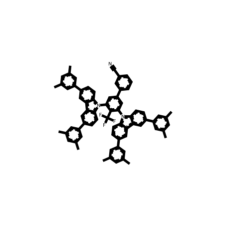 Cc1cc(C)cc(-c2ccc3c(c2)c2cc(-c4cc(C)cc(C)c4)ccc2n3-c2cc(-c3cccc(C#N)c3)cc(-n3c4ccc(-c5cc(C)cc(C)c5)cc4c4cc(-c5cc(C)cc(C)c5)ccc43)c2C(F)(F)F)c1